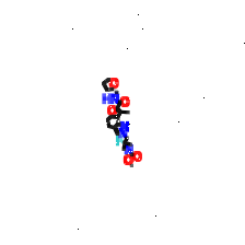 COC(=O)N1CC(F)(Cn2cc3c(n2)-c2c(oc(C(=O)NC[C@@H]4CCCO4)c2C)CC3)C1